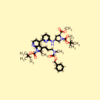 COC(=O)[C@@H]1C[C@H](Nc2cccc(-c3ccnc4c3c(C=CCN(C)C(=O)OCc3ccccc3)c(C)n4C(=O)OC(C)(C)C)n2)CN1C(=O)OC(C)(C)C